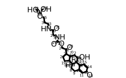 C[C@]12C[C@H](O)C3(F)[C@@H](CCC4=CC(=O)C=C[C@@]43C)C1CCC2C(=O)COC(=O)NCC(=O)NCCCON(O)O